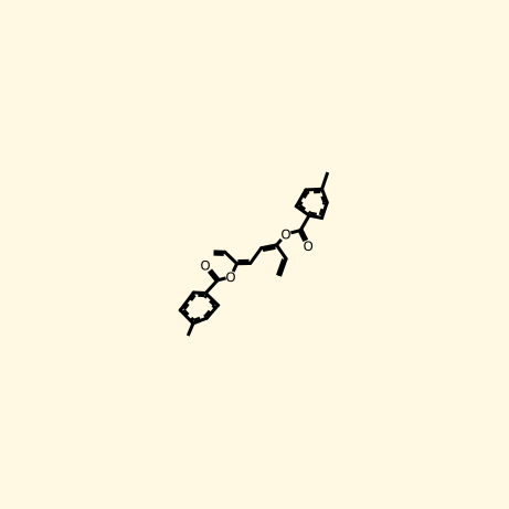 C=C/C(=C\C=C(/C=C)OC(=O)c1ccc(C)cc1)OC(=O)c1ccc(C)cc1